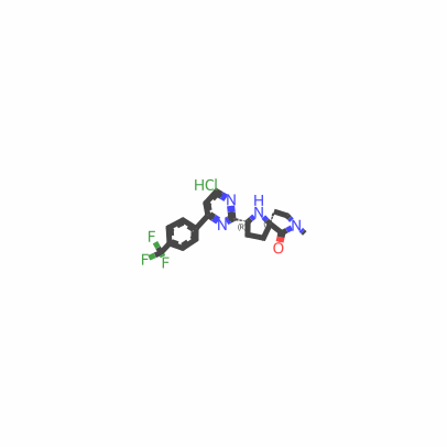 CN1CC[C@@]2(CC[C@H](c3nccc(-c4ccc(C(F)(F)F)cc4)n3)N2)C1=O.Cl